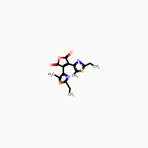 CCc1nc(C2=C(c3nc(CC)sc3C)C(=O)OC2=O)c(C)s1